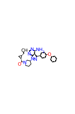 [CH]=C[C@@H]1C[C@@H]1C(=O)N1CCC[C@H](n2nc(-c3ccc(Oc4ccccc4)cc3)c3c(N)ncnc32)C1